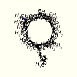 C/C=C/C[C@@H](C)[C@@H](O)[C@H]1C(=O)N[C@@H](CC)C(=O)N(C)[C@H](C)C(=O)N(C)[C@@H]([C@H](C)COCCN2CC[C@H](OC)C2)C(=O)N[C@@H](C(C)C)C(=O)N(C)[C@@H](CC(C)C)C(=O)N[C@@H](C)C(=O)N[C@H](C)C(=O)N(C)[C@@H](CC(C)C)C(=O)N(C)[C@@H](CC(C)C)C(=O)N(C)[C@@H](C(C)C)C(=O)N1C